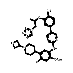 COc1cc(F)c(C2CCN(C3COC3)CC2)cc1Nc1ncc(-c2ccc(C#N)c(OC(C)Cn3cnnn3)c2)cn1